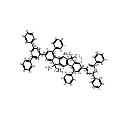 CC1(C)c2cc3c(cc2-c2c(-c4ccccc4)cc(-c4nc(-c5ccccc5)nc(-c5ccccc5)n4)cc21)C(C)(C)c1cc(-c2nc(-c4ccccc4)nc(-c4ccccc4)n2)cc(-c2ccccc2)c1-3